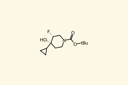 CC(C)(C)OC(=O)N1CC[C@@](O)(C2CC2)[C@H](F)C1